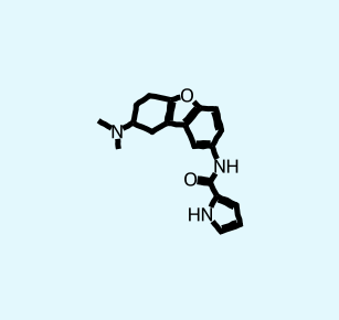 CN(C)C1CCc2oc3ccc(NC(=O)c4ccc[nH]4)cc3c2C1